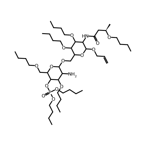 C=CCOC1OC(COC2OC(COCCCC)C(OP(=O)(OCCCC)OCCCC)C(OCCCC)C2N)C(OCCCC)C(OCCCC)C1NC(=O)C[C@@H](C)OCCCC